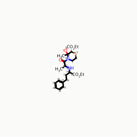 CCOC(=O)OC1(C)CSCCN1C(=O)[C@H](C)NC(CCc1ccccc1)C(=O)OCC